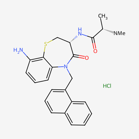 CN[C@@H](C)C(=O)N[C@H]1CSc2c(N)cccc2N(Cc2cccc3ccccc23)C1=O.Cl